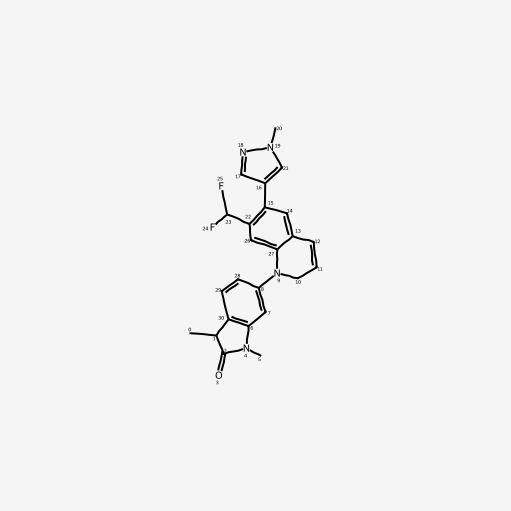 CC1C(=O)N(C)c2cc(N3CC=Cc4cc(-c5cnn(C)c5)c(C(F)F)cc43)ccc21